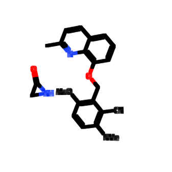 CNc1ccc(OC)c(COc2cccc3ccc(C)nc23)c1C#N.O=C1CN1